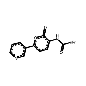 CCCC(=O)Nc1ccc(-c2cccnc2)oc1=O